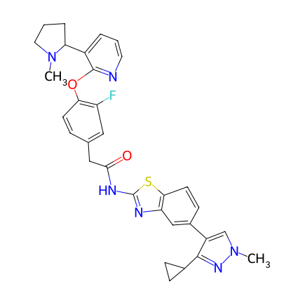 CN1CCCC1c1cccnc1Oc1ccc(CC(=O)Nc2nc3cc(-c4cn(C)nc4C4CC4)ccc3s2)cc1F